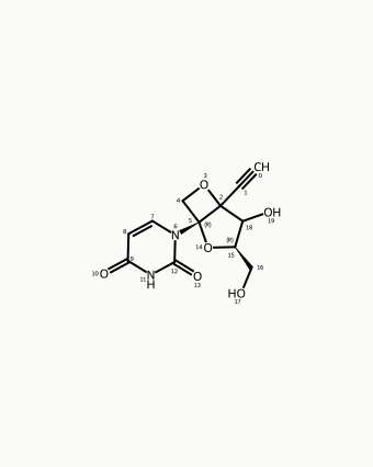 C#CC12OC[C@@]1(n1ccc(=O)[nH]c1=O)O[C@H](CO)C2O